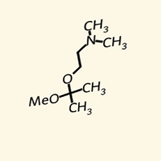 COC(C)(C)OCCN(C)C